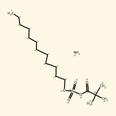 CCCCCCCCCCCCOS(=O)(=O)OC(=O)C(C)(C)C.N